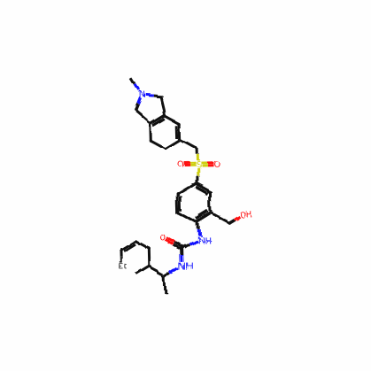 CC/C=C\CC(C)C(C)NC(=O)Nc1ccc(S(=O)(=O)CC2=CC3=C(CC2)CN(C)C3)cc1CO